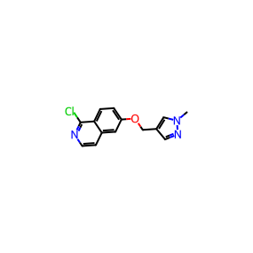 Cn1cc(COc2ccc3c(Cl)nccc3c2)cn1